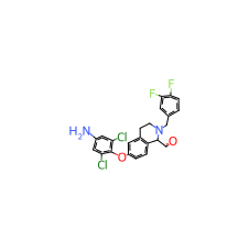 Nc1cc(Cl)c(Oc2ccc3c(c2)CCN(Cc2ccc(F)c(F)c2)C3C=O)c(Cl)c1